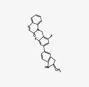 C=C1Cc2cc(-c3cc(F)c(Cn4c(=O)cnc5ccccc54)c(F)c3)ccc2N1